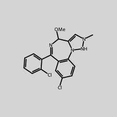 COC1N=C(c2ccccc2Cl)c2cc(Cl)ccc2N2NN(C)C=C12